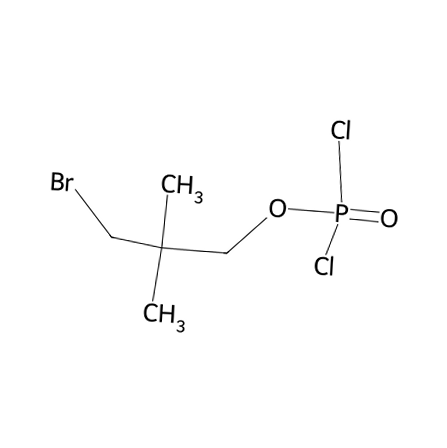 CC(C)(CBr)COP(=O)(Cl)Cl